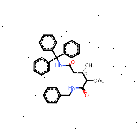 CC(=O)OC(C(=O)NCc1ccccc1)[C@@H](C)CC(=O)NC(c1ccccc1)(c1ccccc1)c1ccccc1